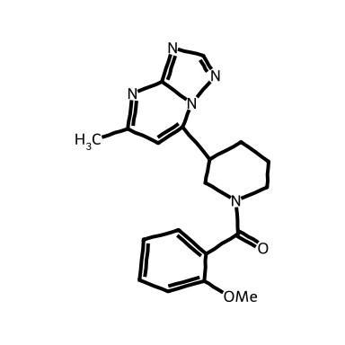 COc1ccccc1C(=O)N1CCCC(c2cc(C)nc3ncnn23)C1